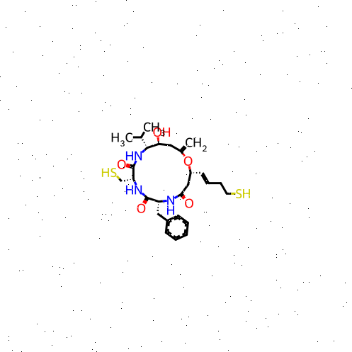 C=C1C[C@H](O)[C@@H](C(C)C)NC(=O)[C@@H](CS)NC(=O)[C@@H](Cc2ccccc2)NC(=O)C[C@@H](/C=C/CCS)O1